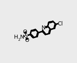 NS(=O)(=O)c1ccc(-c2ccc3cc(Cl)ccc3n2)cc1